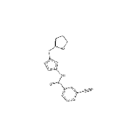 N#Cc1cccc(C(=O)Nc2cnn(CC3CCCO3)c2)c1